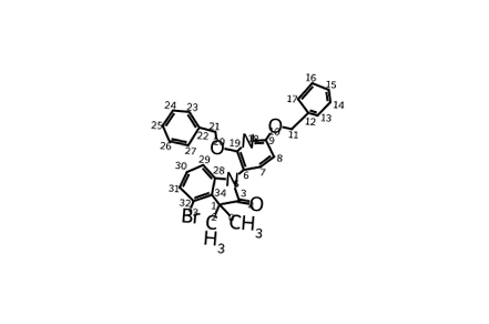 CC1(C)C(=O)N(c2ccc(OCc3ccccc3)nc2OCc2ccccc2)c2cccc(Br)c21